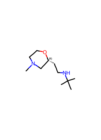 CN1CCO[C@H](CCNC(C)(C)C)C1